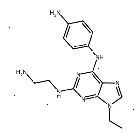 CCn1cnc2c(Nc3ccc(N)cc3)nc(NCCN)nc21